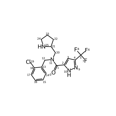 O=C(c1cc(C(F)(F)F)n[nH]1)N(Cc1ccccc1Cl)CC1CCCN1